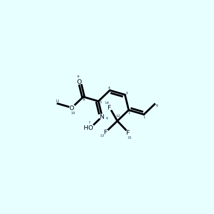 C\C=C(/C=C\C(=N\O)C(=O)OC)C(F)(F)F